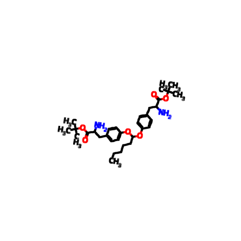 CCCCCC(Oc1ccc(CC(N)C(=O)OC(C)(C)C)cc1)Oc1ccc(CC(N)C(=O)OC(C)(C)C)cc1